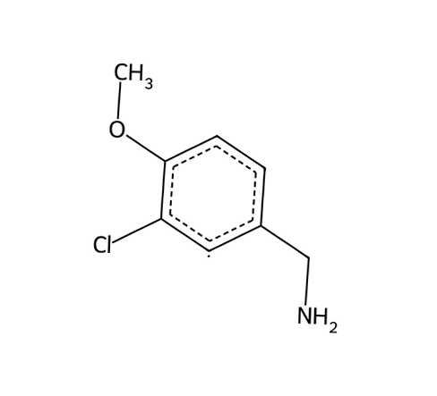 COc1ccc(CN)[c]c1Cl